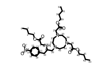 CCCCOC(=O)CNC(Cc1ccc([N+](=O)[O-])cc1)CN1CCN(CC(=O)OCCCC)CCN(CC(=O)OCCCC)CC1